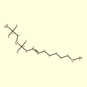 CC(C)OCCCCC/C=N/CC(C)(C)OCC(C)(C)S